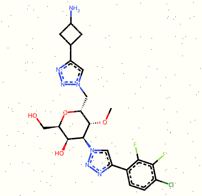 CO[C@@H]1[C@@H](n2cc(-c3ccc(Cl)c(F)c3F)nn2)[C@@H](O)[C@@H](CO)O[C@@H]1Cn1cc(C2CC(N)C2)nn1